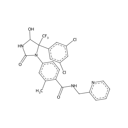 Cc1cc(N2C(=O)NC(O)C2(c2cc(Cl)cc(Cl)c2)C(F)(F)F)ccc1C(=O)NCc1ccccn1